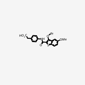 COc1ccc2sc(C(=O)Nc3ccc(CC(=O)O)cc3)c(OC(C)C)c2c1